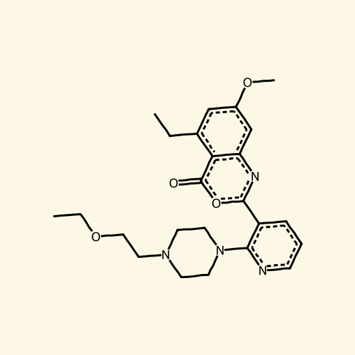 CCOCCN1CCN(c2ncccc2-c2nc3cc(OC)cc(CC)c3c(=O)o2)CC1